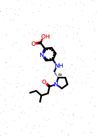 CCC(C)CC(=O)N1CCC[C@H]1CNc1ccc(C(=O)O)nc1